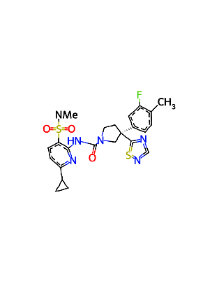 CNS(=O)(=O)c1ccc(C2CC2)nc1NC(=O)N1CC[C@@](c2ccc(C)c(F)c2)(c2ncns2)C1